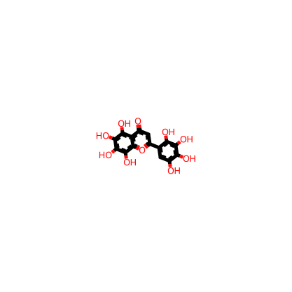 O=c1cc(-c2cc(O)c(O)c(O)c2O)oc2c(O)c(O)c(O)c(O)c12